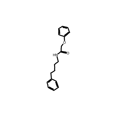 O=C(COc1ccccc1)NCCCCc1ccccc1